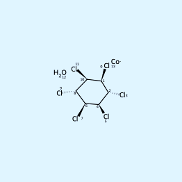 Cl[C@H]1[C@H](Cl)[C@@H](Cl)[C@@H](Cl)[C@H](Cl)[C@H]1Cl.O.[Co]